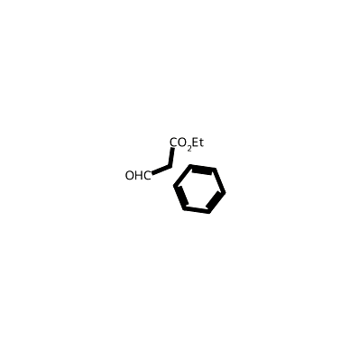 CCOC(=O)CC=O.c1ccccc1